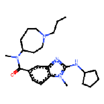 CCCN1CCCC(N(C)C(=O)c2ccc3c(c2)nc(NC2CCCC2)n3C)CC1